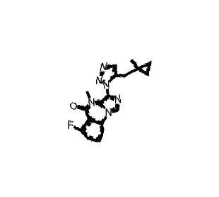 Cn1c(=O)c2c(F)cccc2n2cnc(-n3nncc3CC3(C)CC3)c12